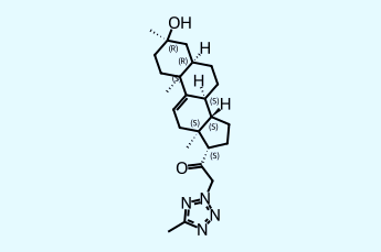 Cc1nnn(CC(=O)[C@H]2CC[C@H]3[C@@H]4CC[C@@H]5C[C@](C)(O)CC[C@]5(C)C4=CC[C@]23C)n1